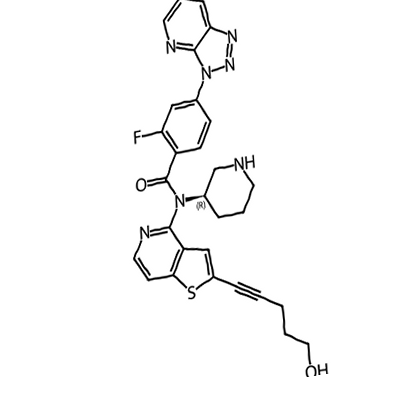 O=C(c1ccc(-n2nnc3cccnc32)cc1F)N(c1nccc2sc(C#CCCCO)cc12)[C@@H]1CCCNC1